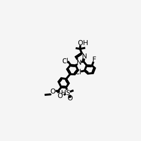 CCOC(=O)c1ccc(-c2ccc(-n3cc(C(C)(C)O)nc3-c3c(F)cccc3Cl)c(Cl)c2)cc1[SH](C)(C)=O